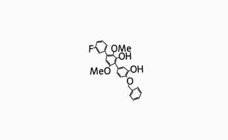 COc1cc(-c2cccc(F)c2)c(OC)c(O)c1-c1ccc(OCc2ccccc2)c(O)c1